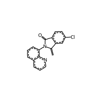 C=C1c2cc(Cl)ccc2C(=O)N1c1cccc2cccnc12